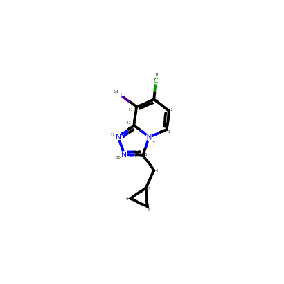 Clc1ccn2c(CC3CC3)nnc2c1I